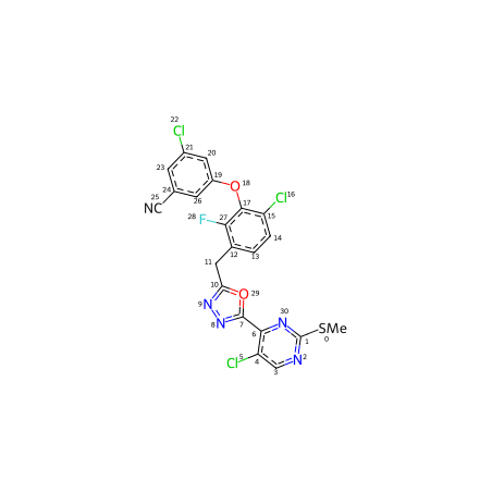 CSc1ncc(Cl)c(-c2nnc(Cc3ccc(Cl)c(Oc4cc(Cl)cc(C#N)c4)c3F)o2)n1